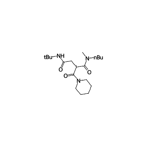 CCCCN(C)C(=O)[C](CC(=O)NC(C)(C)C)C(=O)N1CCCCC1